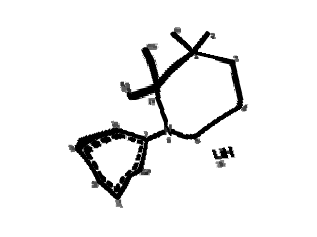 CC1(C)CCCN(c2ccccc2)C1(C)C.[LiH]